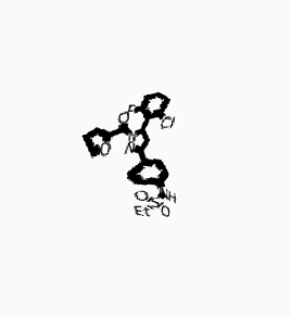 CCS(=O)(=O)Nc1ccc(C2=NN(C(=O)c3ccco3)C(c3c(F)cccc3Cl)C2)cc1